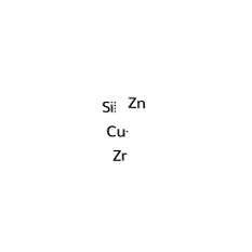 [Cu].[Si].[Zn].[Zr]